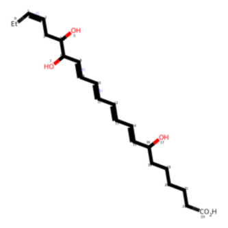 CC/C=C\CC(O)C(O)/C=C/C=C/C=CC=CC(O)CCCCCC(=O)O